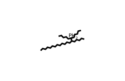 CCCCCCCCCCCCCC(CCCCC)C(P)(CCCCC)CCCCC